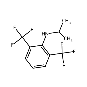 CC(C)Nc1c(C(F)(F)F)cccc1C(F)(F)F